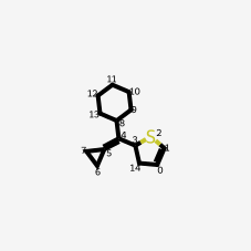 C1=CSC(C(=C2CC2)C2CCCCC2)C1